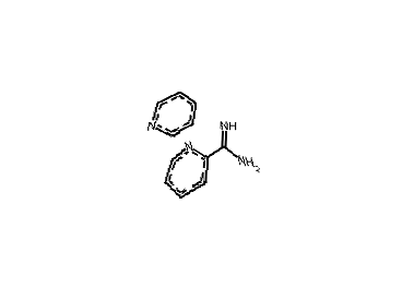 N=C(N)c1ccccn1.c1ccncc1